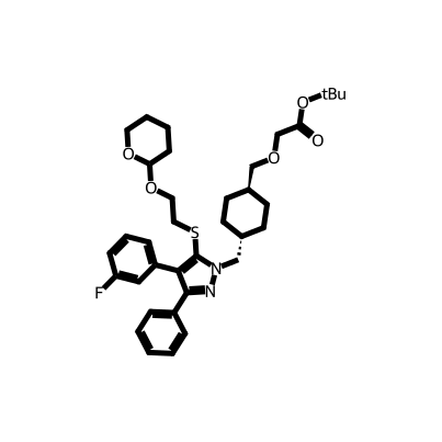 CC(C)(C)OC(=O)COC[C@H]1CC[C@H](Cn2nc(-c3ccccc3)c(-c3cccc(F)c3)c2SCCOC2CCCCO2)CC1